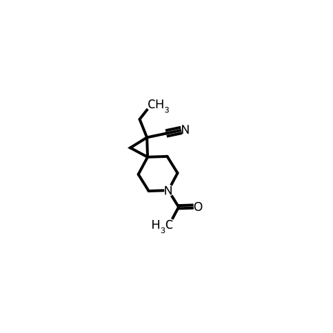 CCC1(C#N)CC12CCN(C(C)=O)CC2